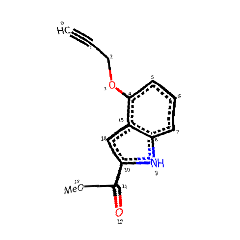 C#CCOc1cccc2[nH]c(C(=O)OC)cc12